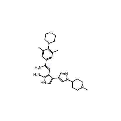 Cc1cc(/C(N)=C/c2c(-c3cnn(C4CCN(C)CC4)c3)c[nH]c2N)cc(C)c1N1CCOCC1